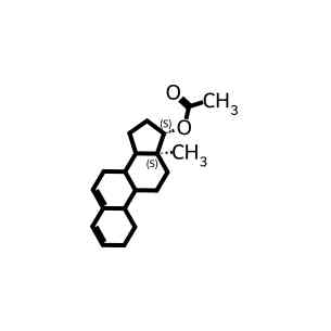 CC(=O)O[C@H]1CCC2C3CC=C4C=CCCC4C3CC[C@@]21C